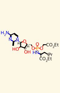 C=C1N=C(N)C=CN1[C@@H]1O[C@H](COP(=O)(N[C@@H](CC(C)C)C(=O)OCC)OCC(=O)OCC)[C@H](O)C1O